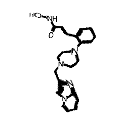 O=C(C=Cc1ccccc1N1CCN(Cc2cn3ccccc3n2)CC1)NO